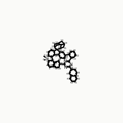 C[Si]1(C)c2ccccc2-c2c1ccc1c2-c2ccc(-c3ccccc3-c3nc(-c4ccccc4)nc(-c4ccc5ccccc5c4)n3)cc2C12C1CC3CC(C1)CC2C3